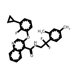 Cc1ccc(C(F)(F)CNC(=O)c2c(Oc3cccc(C4CC4)c3F)cnc3ccccc23)c(C)c1